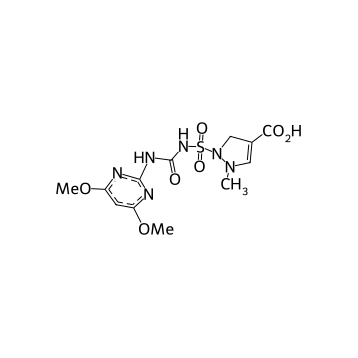 COc1cc(OC)nc(NC(=O)NS(=O)(=O)N2CC(C(=O)O)=CN2C)n1